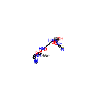 COc1cc(C(=O)N[C@@H]2CCc3ccc(-c4cn5c(n4)CCC5)cc32)cc(OCCCNC(=O)CCCCCCCCCC(=O)N[C@H](C(=O)N2C[C@H](O)C[C@H]2C(=O)NCc2ccc(-c3scnc3C)cc2)C(C)(C)C)c1C